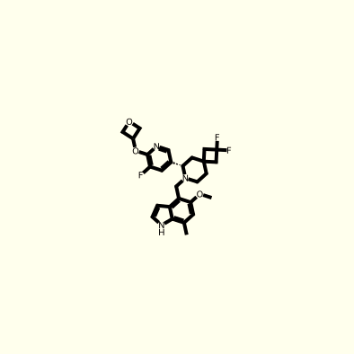 COc1cc(C)c2[nH]ccc2c1CN1CCC2(C[C@H]1c1cnc(OC3COC3)c(F)c1)CC(F)(F)C2